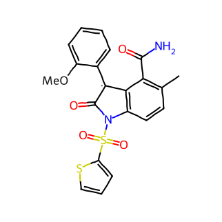 COc1ccccc1[C]1C(=O)N(S(=O)(=O)c2cccs2)c2ccc(C)c(C(N)=O)c21